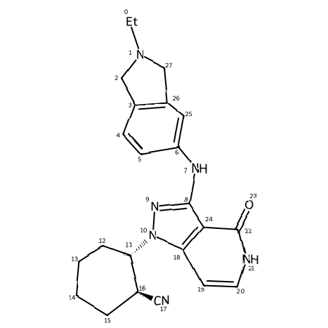 CCN1Cc2ccc(Nc3nn([C@H]4CCCC[C@@H]4C#N)c4cc[nH]c(=O)c34)cc2C1